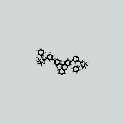 CC1(C)N=C(c2cccc(-c3ccc4c(c3)Oc3cccc5c3B4c3ccc(-c4cccc(C6=NC(C)(C)C(C)(C)N6c6ccccc6)c4)cc3O5)c2)N(c2ccccc2)C1(C)C